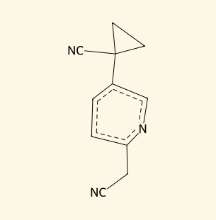 N#CCc1ccc(C2(C#N)CC2)cn1